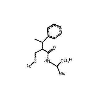 CCCCC(NC(=O)C(CSC(C)=O)C(C)c1ccccc1)C(=O)O